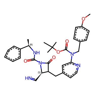 COc1ccc(CN(C(=O)OC(C)(C)C)c2cc(CC3C(=O)N(C(=O)N[C@H](C)c4ccccc4)[C@@H]3C=N)ccn2)cc1